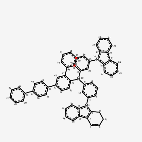 C1=Cc2c(n(-c3cccc(N(c4cccc(-n5c6ccccc6c6ccccc65)c4)c4ccc(-c5ccc(-c6ccccc6)cc5)cc4-c4ccccc4)c3)c3ccccc23)CC1